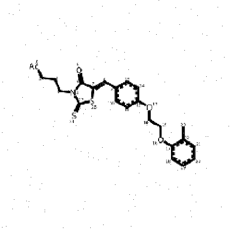 CC(=O)CCCN1C(=O)/C(=C/c2ccc(OCCOc3ccccc3C)cc2)SC1=S